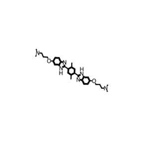 Cc1cc(-c2nc3ccc(OCCCN(C)C)cc3[nH]2)c(C)cc1-c1nc2ccc(OCCCN(C)C)cc2[nH]1